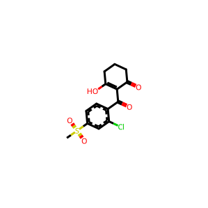 CS(=O)(=O)c1ccc(C(=O)C2=C(O)CCCC2=O)c(Cl)c1